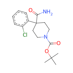 CC(C)(C)OC(=O)N1CCC(C(N)=O)(c2ccccc2Cl)CC1